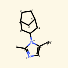 Cc1ncc(C(C)C)n1C1CC2CCC(C2)C1